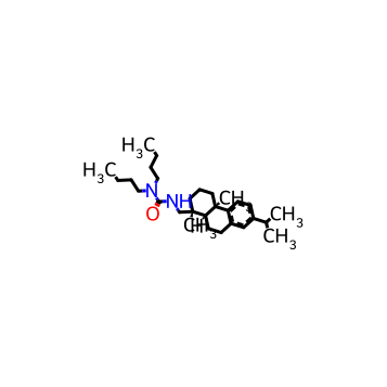 CCCCN(CCCC)C(=O)NC[C@]1(C)CCC[C@]2(C)c3ccc(C(C)C)cc3CC[C@@H]12